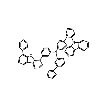 c1ccc(-c2cccc(N(c3ccc(-c4ccccc4-n4c5ccccc5c5ccccc54)cc3)c3cccc(-c4cccc5c4oc4c(-c6ccccc6)cccc45)c3)c2)cc1